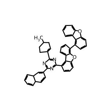 CC1CC=C(c2nc(C3=CC4C=CC=CC4C=C3)nc(-c3cccc4oc5c(-c6cccc7oc8ccccc8c67)cccc5c34)n2)CC1